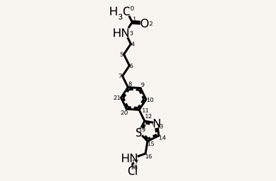 CC(=O)NCCCCc1ccc(-c2ncc(CNCl)s2)cc1